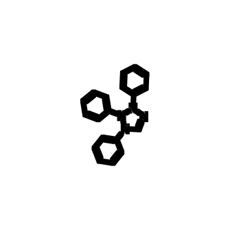 C1=NN(c2ccccc2)N(c2ccccc2)N1c1ccccc1